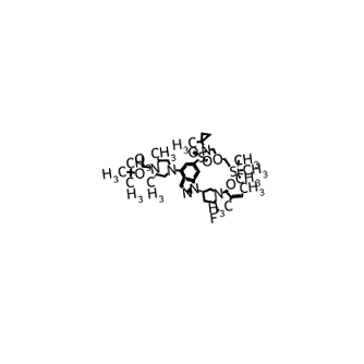 C/C=C(/C)C(=O)N1C[C@H](n2ncc3c(N4C[C@H](C)N(C(=O)OC(C)(C)C)[C@@H](C)C4)cc(S(=O)(=O)N(COCC[Si](C)(C)C)C4(C)CC4)cc32)C[C@H]1CF